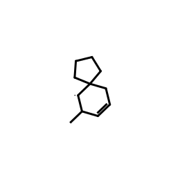 CC1[CH]C2(CC=C1)CCCC2